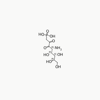 N[C@@H](C(=O)C(=O)CP(=O)(O)O)[C@@H](O)[C@H](O)[C@H](O)CO